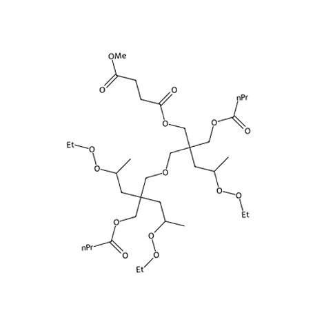 CCCC(=O)OCC(COCC(COC(=O)CCC)(CC(C)OOCC)CC(C)OOCC)(COC(=O)CCC(=O)OC)CC(C)OOCC